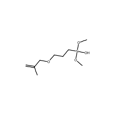 C=C(C)COCCC[Si](O)(OC)OC